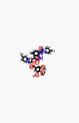 COc1cc(C(=O)OC(CC2C(=O)Oc3c(NC(=O)N4CCC(C)CC4)ccc(C)c32)CN2CCC(C)CC2)cc(OC)c1OC